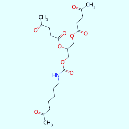 CC(=O)CCCCCNC(=O)OCC(COC(=O)CCC(C)=O)OC(=O)CCC(C)=O